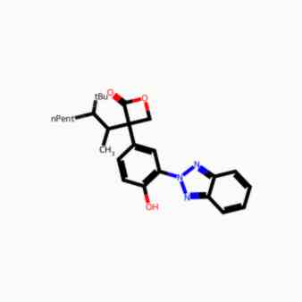 CCCCCC(C(C)C1(c2ccc(O)c(-n3nc4ccccc4n3)c2)COC1=O)C(C)(C)C